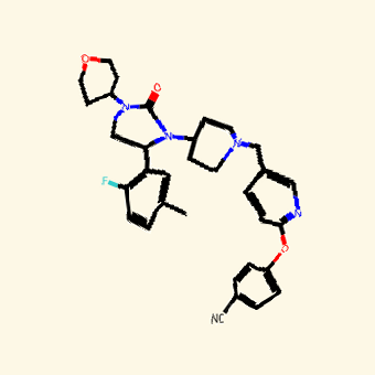 Cc1ccc(F)c(C2CN(C3CCOCC3)C(=O)N2C2CCN(Cc3ccc(Oc4ccc(C#N)cc4)nc3)CC2)c1